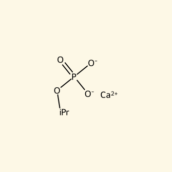 CC(C)OP(=O)([O-])[O-].[Ca+2]